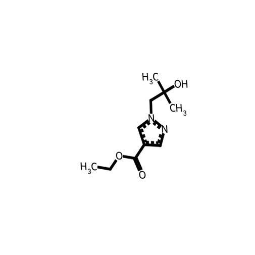 CCOC(=O)c1cnn(CC(C)(C)O)c1